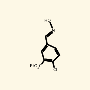 CCOC(=O)c1cc(C=NO)ccc1Cl